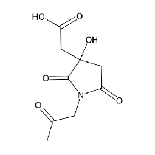 CC(=O)CN1C(=O)CC(O)(CC(=O)O)C1=O